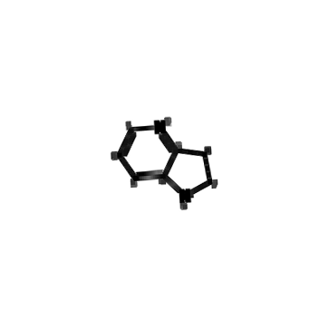 c1cnc2c(c1)[N]CC2